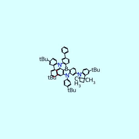 CC(C)(C)c1ccc(N2c3cc(N4c5ccc(C(C)(C)C)cc5C5(C)CCC45C)ccc3B3c4ccc(-c5ccccc5)cc4N(c4ccc(C(C)(C)C)cc4-c4ccccc4)c4cc(C(C)(C)C)cc2c43)cc1